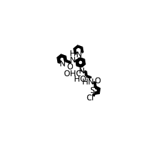 O=CN(CC(O)CNC(=O)c1ccc(Cl)s1)c1ccc(N2CCCCC2)c(NC(=O)c2ccccn2)c1